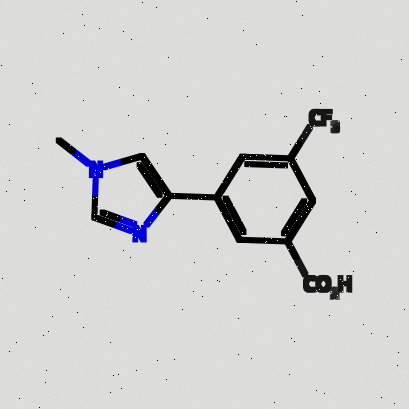 Cn1cnc(-c2cc(C(=O)O)cc(C(F)(F)F)c2)c1